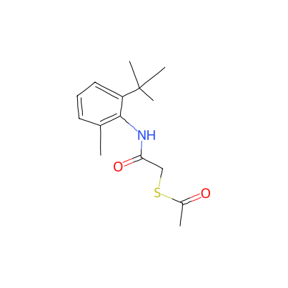 CC(=O)SCC(=O)Nc1c(C)cccc1C(C)(C)C